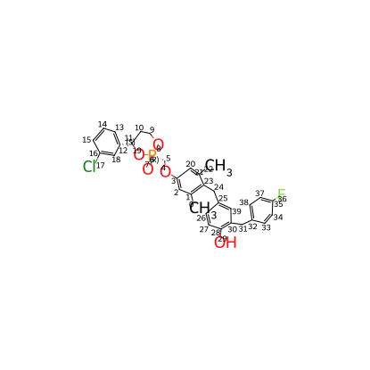 Cc1cc(OC[P@@]2(=O)OCC[C@@H](c3cccc(Cl)c3)O2)cc(C)c1Cc1ccc(O)c(Cc2ccc(F)cc2)c1